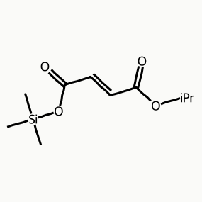 CC(C)OC(=O)C=CC(=O)O[Si](C)(C)C